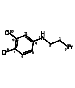 CC(C)CCNc1ccc(Cl)c(Cl)c1